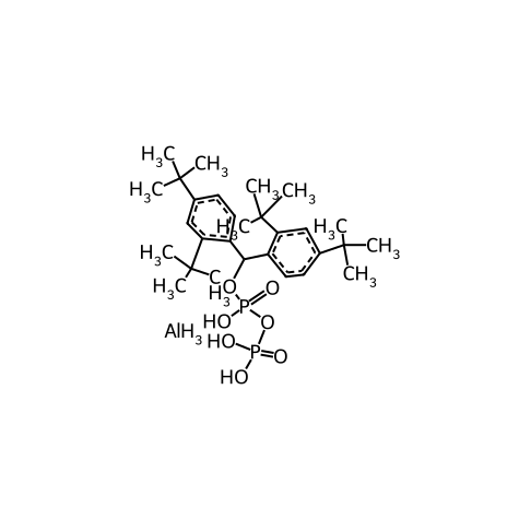 CC(C)(C)c1ccc(C(OP(=O)(O)OP(=O)(O)O)c2ccc(C(C)(C)C)cc2C(C)(C)C)c(C(C)(C)C)c1.[AlH3]